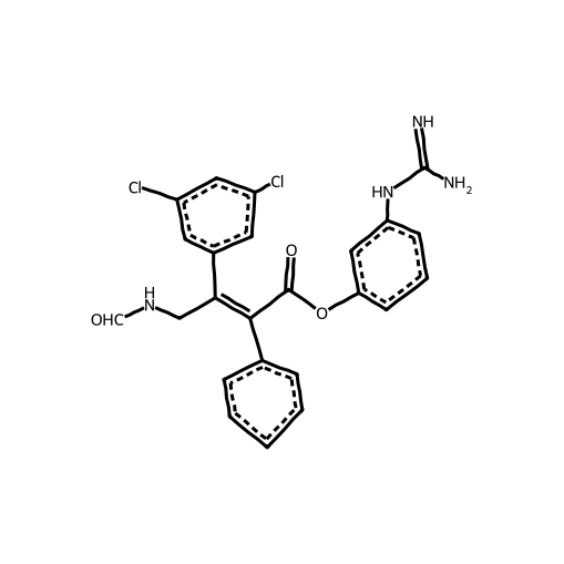 N=C(N)Nc1cccc(OC(=O)C(=C(CNC=O)c2cc(Cl)cc(Cl)c2)c2ccccc2)c1